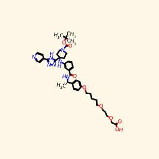 C[C@H](NC(=O)c1cccc(NC2(c3nnc(-c4ccncc4)[nH]3)CCN(C(=O)OC(C)(C)C)CC2)c1)c1ccc(OCCCCCOCCCOCC(=O)O)cc1